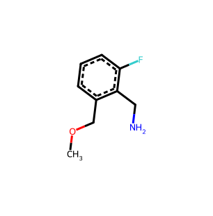 COCc1cccc(F)c1CN